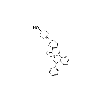 CN(c1ccccc1)c1ccccc1-c1cc2ccc(N3CCC(O)CC3)cc2c(=O)[nH]1